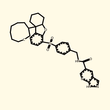 O=C(NCc1ccc(S(=O)(=O)c2cccc3c2OC2CCCCC32C2CCCCCCCC2)cc1)c1cnc2[nH]ncc2c1